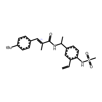 C=Cc1cc(C(C)NC(=O)/C(C)=C/c2ccc(C(C)(C)C)cc2)ccc1NS(C)(=O)=O